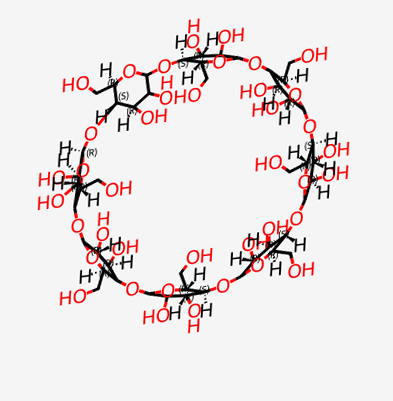 OC[C@H]1O[C@@H]2O[C@H]3[C@H](O)C(O)C(O[C@H]4[C@H](O)C(O)C(OC5[C@@H](CO)OC(O[C@H]6[C@H](O)[C@@H](O)C(O[C@H]7[C@H](O)[C@@H](O)C(O[C@H]8[C@H](O)C(O)C(OC9[C@@H](CO)OC(OC1[C@H](O)[C@H]2O)[C@H](O)[C@H]9O)O[C@@H]8CO)O[C@@H]7CO)O[C@@H]6CO)[C@H](O)[C@H]5O)O[C@@H]4CO)O[C@@H]3CO